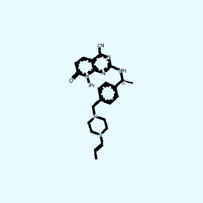 CC=CN1CCN(Cc2ccc([C@H](C)Nc3nc(C#N)c4ccc(=O)n(C(C)C)c4n3)cc2)CC1